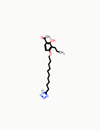 CCCc1c(OCCCCCCCCCCc2nnn[nH]2)ccc(C(C)=O)c1O